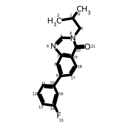 CC(C)Cn1cnc2cc(-c3cccc(F)c3)ccc2c1=O